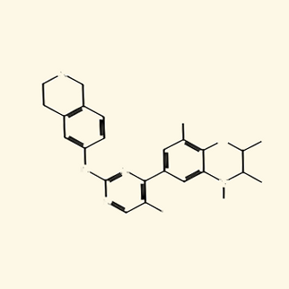 CC1Oc2c(F)cc(-c3nc(Nc4ccc5c(c4)CCNC5)ncc3F)cc2N(C(C)C)C1C